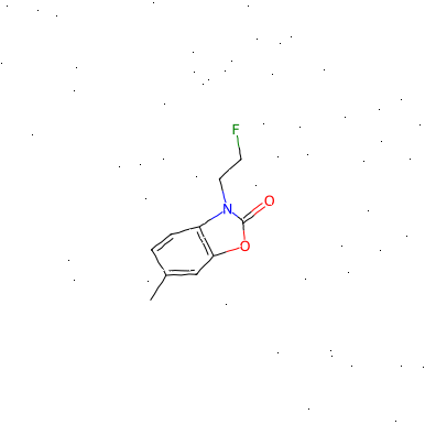 Cc1ccc2c(c1)oc(=O)n2CCF